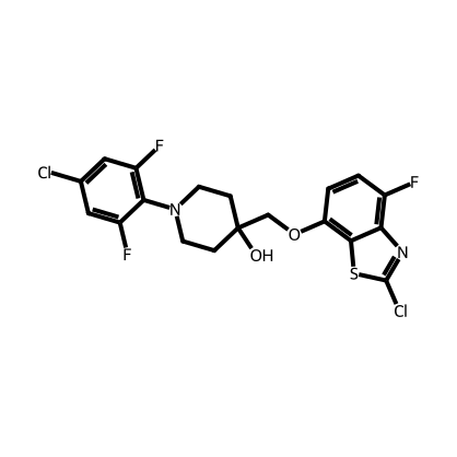 OC1(COc2ccc(F)c3nc(Cl)sc23)CCN(c2c(F)cc(Cl)cc2F)CC1